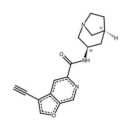 C#Cc1coc2cnc(C(=O)N[C@@H]3C[C@@H]4CCN(C4)C3)cc12